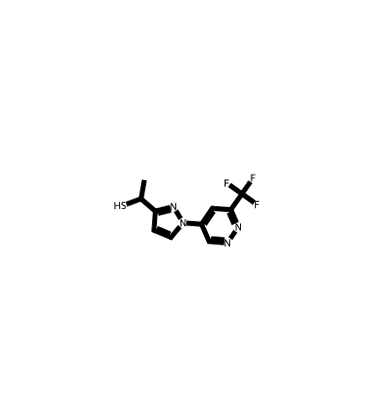 CC(S)c1ccn(-c2cnnc(C(F)(F)F)c2)n1